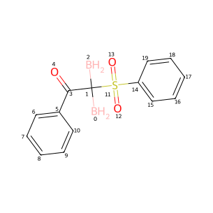 BC(B)(C(=O)c1ccccc1)S(=O)(=O)c1ccccc1